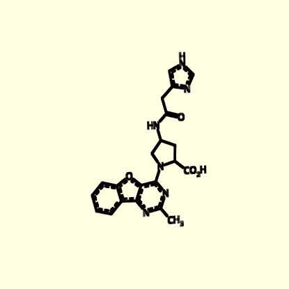 Cc1nc(N2CC(NC(=O)Cc3c[nH]cn3)CC2C(=O)O)c2oc3ccccc3c2n1